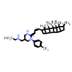 CC1CC2C3C4C5C6CC(/C=C\C=C7/NCC(CNCC(=O)O)CN7c7ccc(C(F)(F)F)cc7)C6(C)C5(C)C4(C)C3(C)C12C